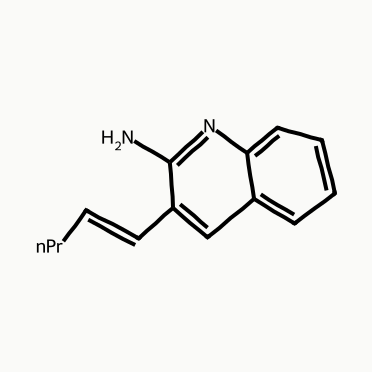 CCCC=Cc1cc2ccccc2nc1N